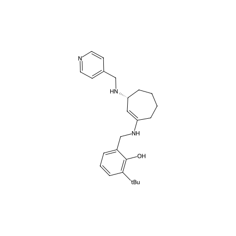 CC(C)(C)c1cccc(CNC2=C[C@H](NCc3ccncc3)CCCC2)c1O